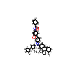 CC1(C)c2ccccc2-c2ccc(N(c3ccc(-c4ccccc4)cc3)c3ccc4c(c3)oc3cc5nc(-c6ccccc6)oc5cc34)cc21